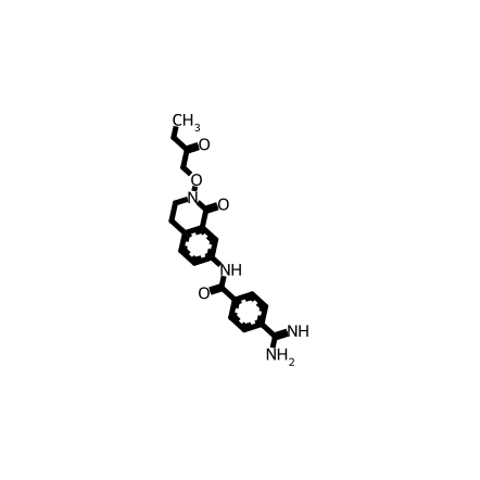 CCC(=O)CON1CCc2ccc(NC(=O)c3ccc(C(=N)N)cc3)cc2C1=O